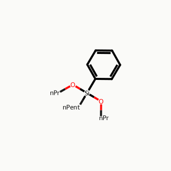 CCCCC[Si](OCCC)(OCCC)c1ccccc1